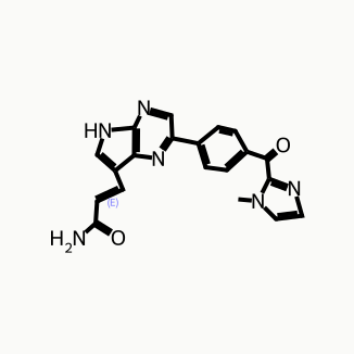 Cn1ccnc1C(=O)c1ccc(-c2cnc3[nH]cc(/C=C/C(N)=O)c3n2)cc1